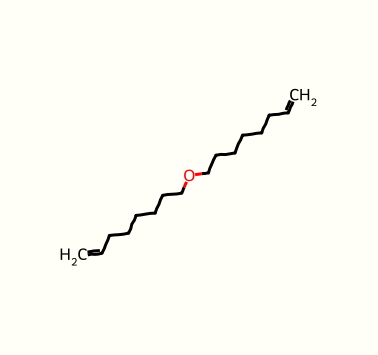 C=CCCCCCCOCCCCCCC=C